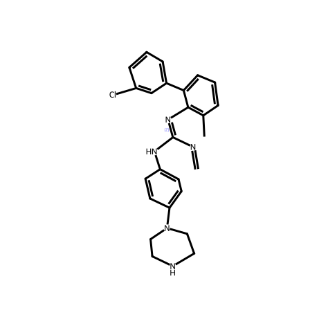 C=N/C(=N\c1c(C)cccc1-c1cccc(Cl)c1)Nc1ccc(N2CCNCC2)cc1